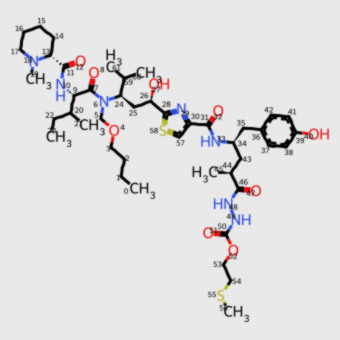 CCCCOCN(C(=O)[C@@H](NC(=O)[C@H]1CCCCN1C)C(C)CC)[C@H](C[C@@H](O)c1nc(C(=O)N[C@@H](Cc2ccc(O)cc2)C[C@H](C)C(=O)NNC(=O)OCCSC)cs1)C(C)C